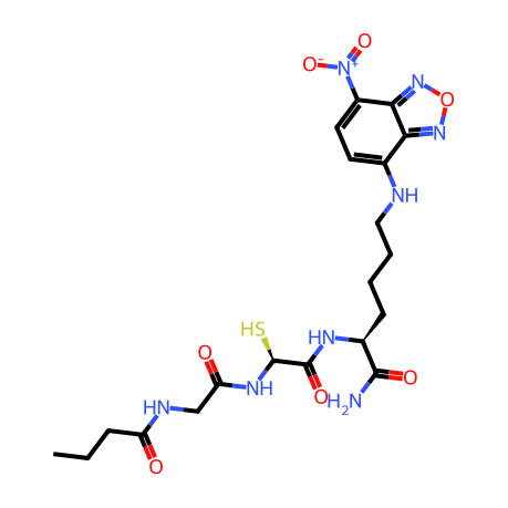 CCCC(=O)NCC(=O)N[C@@H](S)C(=O)N[C@@H](CCCCNc1ccc([N+](=O)[O-])c2nonc12)C(N)=O